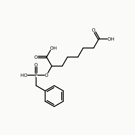 O=C(O)CCCCCC(OP(=O)(O)Cc1ccccc1)C(=O)O